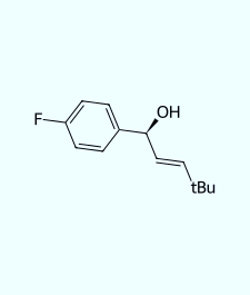 CC(C)(C)C=C[C@H](O)c1ccc(F)cc1